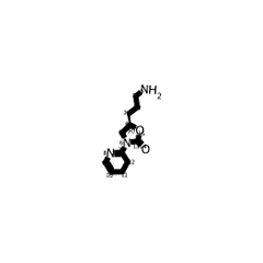 NCCC[C@@H]1CN(C2=NC=CCC2)C(=O)O1